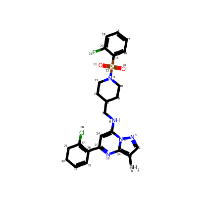 Bc1cnn2c(NCC3CCN(S(=O)(=O)c4ccccc4F)CC3)cc(C3=C(Cl)CCC=C3)nc12